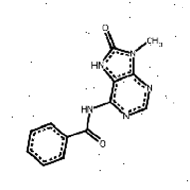 Cn1c(=O)[nH]c2c(NC(=O)c3ccccc3)ncnc21